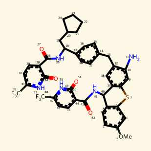 COc1ccc2c(c1)Sc1cc(N)c(Cc3ccc(C(CC4CCCC4)NC(=O)c4ccc(C(F)(F)F)[nH]c4=O)cc3)cc1C2NC(=O)c1ccc(C(F)(F)F)[nH]c1=O